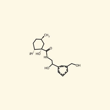 CC(C)[C@@H]1CC[C@@H](C)C[C@@]1(O)C(=O)NCC(O)c1cccc(CO)c1